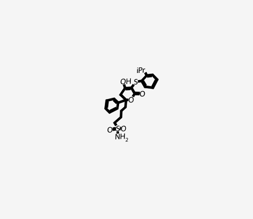 CC(C)c1ccccc1SC1=C(O)CC(CCCCS(N)(=O)=O)(c2ccccc2)OC1=O